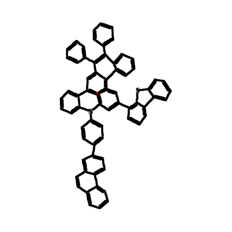 c1ccc(-c2c(-c3ccccc3)c3cc(-c4ccccc4N(c4ccc(-c5ccc6c(ccc7ccccc76)c5)cc4)c4cccc(-c5cccc6c5sc5ccccc56)c4)ccc3c3ccccc23)cc1